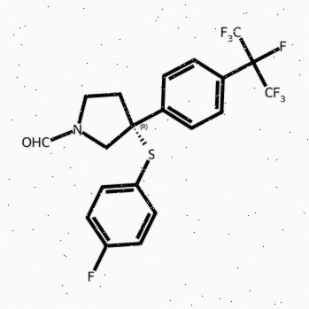 O=CN1CC[C@@](Sc2ccc(F)cc2)(c2ccc(C(F)(C(F)(F)F)C(F)(F)F)cc2)C1